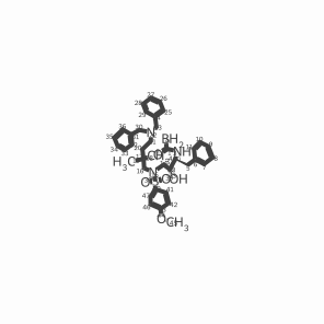 BC(=O)N[C@@H](Cc1ccccc1)[C@H](O)CN(CC(C)(C)CCN(Cc1ccccc1)Cc1ccccc1)S(=O)(=O)c1ccc(OC)cc1